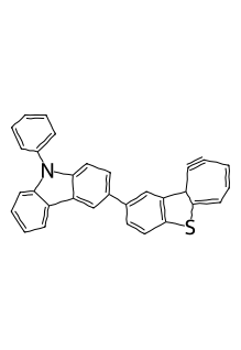 C1#CC2C(=CC=C1)Sc1ccc(-c3ccc4c(c3)c3ccccc3n4-c3ccccc3)cc12